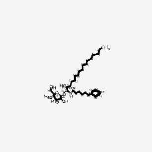 CCCCCCCCCCCCCCC[C@@H](O)[C@H](CO[C@H]1OC(CO)[C@H](O)C(O)C1O)NC(=O)CCCCCc1ccccc1